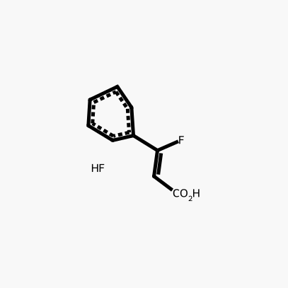 F.O=C(O)C=C(F)c1ccccc1